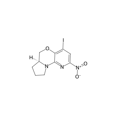 O=[N+]([O-])c1cc(I)c2c(n1)N1CCC[C@H]1CO2